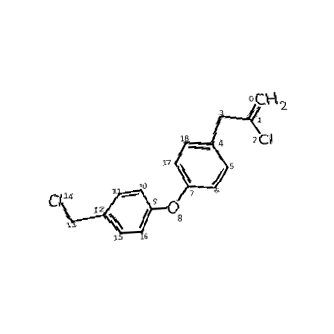 C=C(Cl)Cc1ccc(Oc2ccc(CCl)cc2)cc1